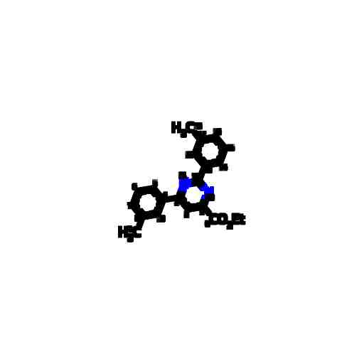 CCOC(=O)c1cc(-c2cccc(C)c2)nc(-c2cccc(C)c2)n1